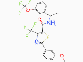 COc1cccc(-c2nc(C(F)(F)F)c(C(=O)NC(C)c3cccc(OC(F)(F)F)c3)s2)c1